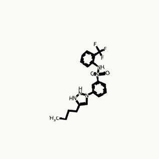 CCCCC1=CN(c2cccc(S(=O)(=O)Nc3ccccc3C(F)(F)F)c2)NN1